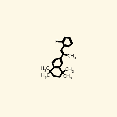 CC(=Cc1ccccc1F)c1ccc2c(c1)C(C)(C)CCC2(C)C